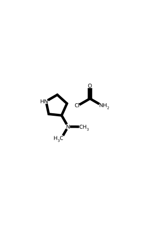 CN(C)C1CCNC1.NC(=O)Cl